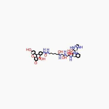 CN[C@@H](O)[C@H](Cc1ncc[nH]1)N[C@H](O)[C@H](Cc1ccccc1)N[C@@H](O)CN[C@H](O)CN[C@@H](O)CCCCCNC(=O)Nc1ccc(-c2c3ccc(=O)cc-3oc3cc(O)ccc23)c(C(=O)O)c1